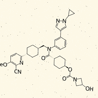 COc1ccc([C@H]2CC[C@H](CN(c3cccc(-c4cnn(C5CC5)c4)c3)C(=O)[C@H]3CC[C@H](OC(=O)N4CC(O)C4)CC3)CC2)nc1C#N